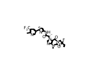 C=CC(F)(F)Cn1c(=O)c2c(ncn2[C@@H](C)C(=O)Nc2csc(-c3cnc(C)c(C(F)(F)F)c3)n2)n(C)c1=O